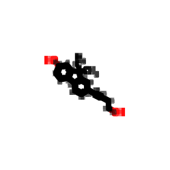 CC1(C)c2cc(O)ccc2-c2ccc(C#CCCO)cc21